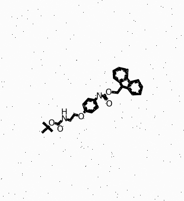 CC(C)(C)OC(=O)NCCOc1ccc([N]C(=O)OCC2c3ccccc3-c3ccccc32)cc1